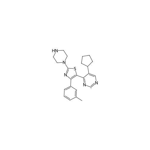 Cc1cccc(-c2nc(N3CCNCC3)sc2-c2n[c]ncc2C2CCCC2)c1